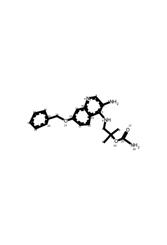 CC(C)(CNc1c(N)cnc2cc(OCc3ccccc3)ccc12)OC(N)=O